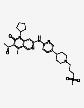 CC(=O)c1c(C)c2cnc(Nc3ccc(C4CCN(CCCS(C)(=O)=O)CC4)cn3)cc2n(C2CCCC2)c1=O